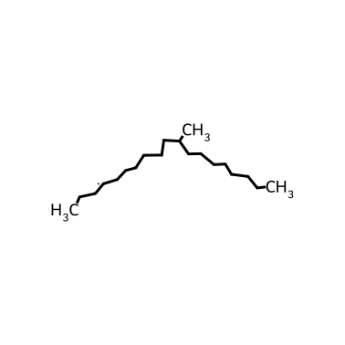 CCC[CH]CCCCCCC(C)CCCCCCCC